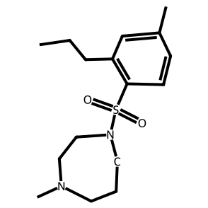 CCCc1cc(C)ccc1S(=O)(=O)N1CCCN(C)CC1